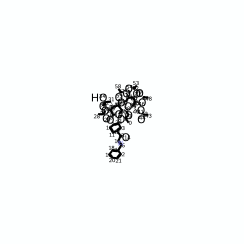 CC(=O)OC[C@@H]1O[C@@H](Oc2ccc(C(=O)/C=C/c3ccccc3)cc2)[C@@H](OC(C)=O)[C@H](CC(=O)O)[C@H]1O[C@H]1O[C@@H](COC(C)=O)[C@H](OC(C)=O)[C@@H](OC(C)=O)[C@@H]1OC(C)=O